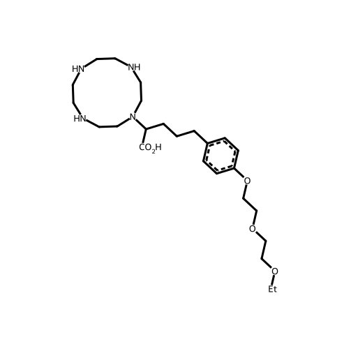 CCOCCOCCOc1ccc(CCCC(C(=O)O)N2CCNCCNCCNCC2)cc1